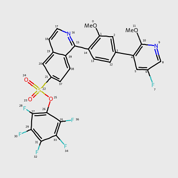 COc1cc(-c2cc(F)cnc2OC)ccc1-c1nccc2cc(S(=O)(=O)Oc3c(F)c(F)c(F)c(F)c3F)ccc12